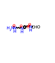 NC(=O)NCCCCC(=O)Nc1ccc(COC(=O)NCC=O)cc1